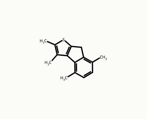 Cc1ccc(C)c2c1Cc1sc(C)c(C)c1-2